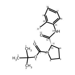 CC(C)(C)OC(=O)N1CCC[C@H]1C(=O)Nc1ccccc1I